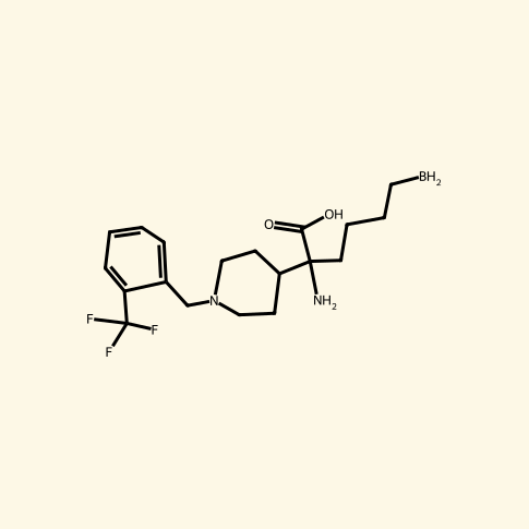 BCCCCC(N)(C(=O)O)C1CCN(Cc2ccccc2C(F)(F)F)CC1